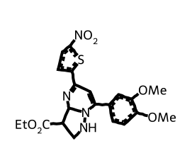 CCOC(=O)C1CNN2C(c3ccc(OC)c(OC)c3)=CC(c3ccc([N+](=O)[O-])s3)=NC12